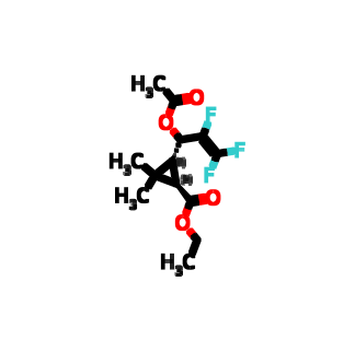 CCOC(=O)[C@@H]1[C@@H](C(OC(C)=O)C(F)=C(F)F)C1(C)C